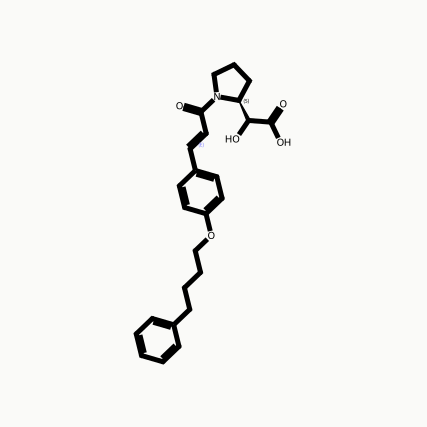 O=C(O)C(O)[C@@H]1CCCN1C(=O)/C=C/c1ccc(OCCCCc2ccccc2)cc1